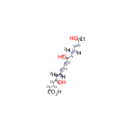 [2H]C(/C=C/C(O)CC)=C(/[2H])CC(O)/C=C/C=C/C([2H])=C(\[2H])C(O)CCCC(=O)O